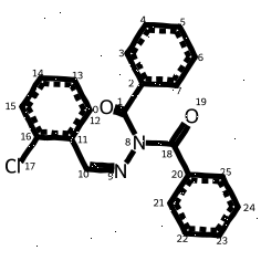 O=C(c1ccccc1)N(/N=C\c1ccccc1Cl)C(=O)c1ccccc1